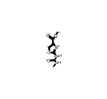 CNC(=O)Nc1nc(C(=O)OC)cs1